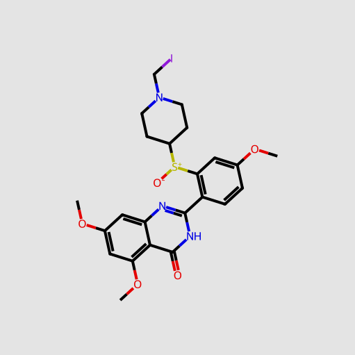 COc1ccc(-c2nc3cc(OC)cc(OC)c3c(=O)[nH]2)c([S+]([O-])C2CCN(CI)CC2)c1